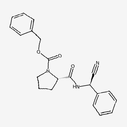 N#C[C@H](NC(=O)[C@@H]1CCCN1C(=O)OCc1ccccc1)c1ccccc1